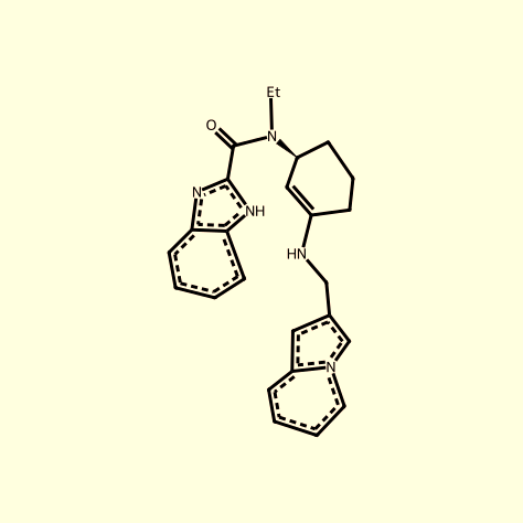 CCN(C(=O)c1nc2ccccc2[nH]1)[C@@H]1C=C(NCc2cc3ccccn3c2)CCC1